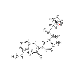 COc1cccc(CN(C(N)=O)c2ccc3[nH]nc(C(=O)N4CC5CCN(CC5)C4)c3c2)c1